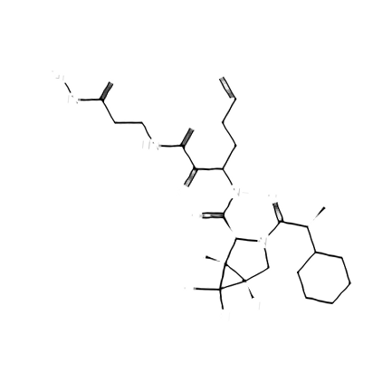 C=CCCC(NC(=O)[C@@H]1[C@@H]2[C@H](CN1C(=O)[C@@H](C)C1CCCCC1)C2(Cl)Cl)C(=O)C(=O)NCCC(=O)NC(C)(C)C